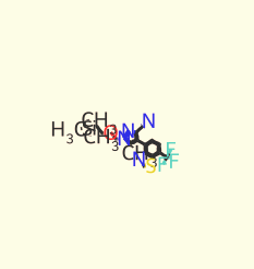 Cc1c(-c2ccc(C(F)(F)F)c3scnc23)c(C#N)nn1COCC[Si](C)(C)C